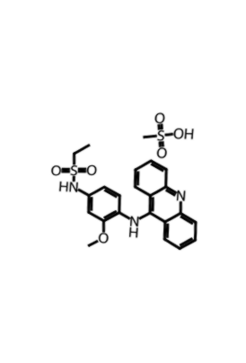 CCS(=O)(=O)Nc1ccc(Nc2c3ccccc3nc3ccccc23)c(OC)c1.CS(=O)(=O)O